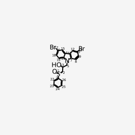 [O-][S+](CC(O)Cn1c2c#cc(Br)cc2c2cc(Br)ccc21)c1ccccc1